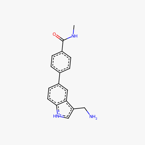 CNC(=O)c1ccc(-c2ccc3[nH]cc(CN)c3c2)cc1